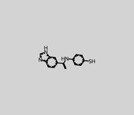 C=C(Nc1ccc(S)cc1)c1ccc2nc[nH]c2c1